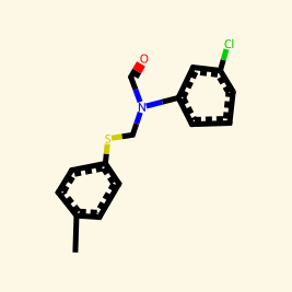 Cc1ccc(SCN(C=O)c2cccc(Cl)c2)cc1